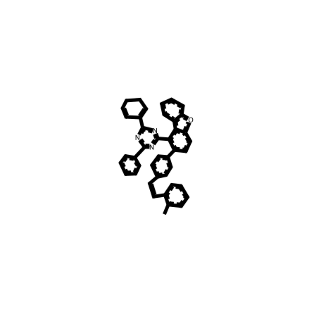 Cc1ccccc1/C=C\c1ccc(-c2ccc3oc4ccccc4c3c2-c2nc(C3=CCCC=C3)nc(-c3ccccc3)n2)cc1